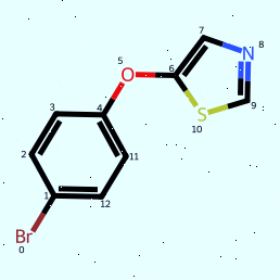 Brc1ccc(Oc2cncs2)cc1